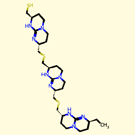 CC[C@H]1CCN2CC[C@H](CSC[C@H]3CCN4CC[C@H](CSC[C@H]5CCN6CC[C@H](CS)NC6=N5)NC4=N3)NC2=N1